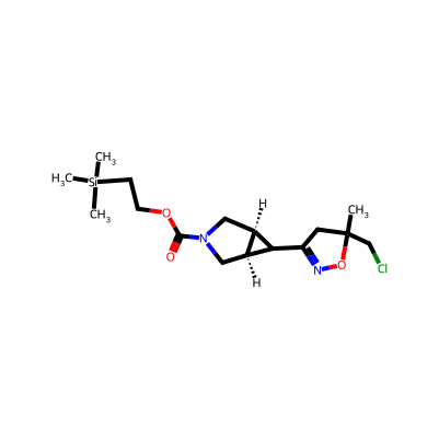 CC1(CCl)CC(C2[C@H]3CN(C(=O)OCC[Si](C)(C)C)C[C@@H]23)=NO1